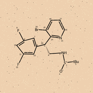 CC(C)(C)[S+]([O-])NC[C@H](c1cc(F)cc(F)c1)c1ncccc1Br